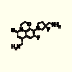 NCc1cc(=O)n2c3c(c(N4CCC(F)(CN)C4)c(F)cc13)OCC2